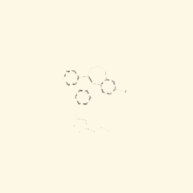 Nc1ccc2c(c1)CCCC(c1ccncc1F)=C2c1ccc(OC2CCN(CCCF)C2)cc1